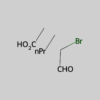 CC(=O)O.CCCC.O=CCBr